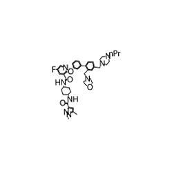 CCCN1CCN(Cc2ccc(-c3cccc(Oc4ncc(F)cc4C(=O)N[C@H]4CC[C@H](NC(=O)c5cc(C)n(C)n5)CC4)c3)c(CN3CCOCC3)c2)CC1